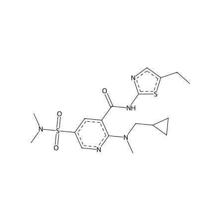 CCc1cnc(NC(=O)c2cc(S(=O)(=O)N(C)C)cnc2N(C)CC2CC2)s1